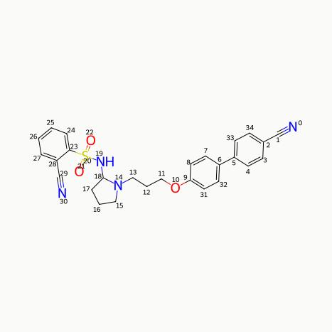 N#Cc1ccc(-c2ccc(OCCCN3CCCC3NS(=O)(=O)c3ccccc3C#N)cc2)cc1